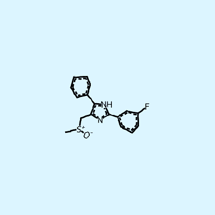 C[S+]([O-])Cc1nc(-c2cccc(F)c2)[nH]c1-c1ccccc1